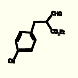 [C-]#[N+]c1ccc(CC(C=O)C(=O)OCC)cc1